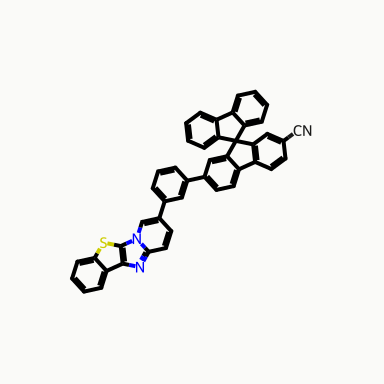 N#Cc1ccc2c(c1)C1(c3ccccc3-c3ccccc31)c1cc(-c3cccc(-c4ccc5nc6c7ccccc7sc6n5c4)c3)ccc1-2